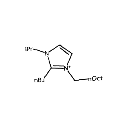 CCCCCCCCC[n+]1ccn(C(C)C)c1CCCC